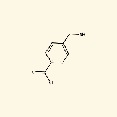 O=C(Cl)c1ccc(CS)cc1